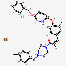 Br.CC(=Cc1cc(C)c(Oc2ccc(OCc3ccccc3Cl)cn2)c(Cl)c1)C(=O)N1CCN(Cc2ccc(C)cc2)CC1